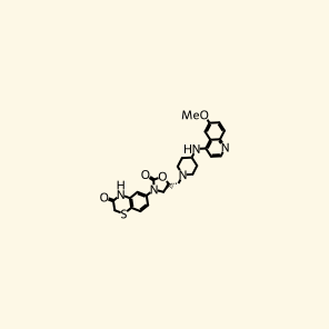 COc1ccc2nccc(NC3CCN(C[C@@H]4CN(c5ccc6c(c5)NC(=O)CS6)C(=O)O4)CC3)c2c1